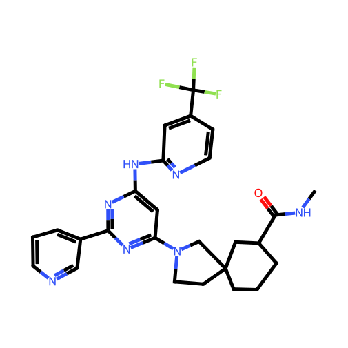 CNC(=O)C1CCCC2(CCN(c3cc(Nc4cc(C(F)(F)F)ccn4)nc(-c4cccnc4)n3)C2)C1